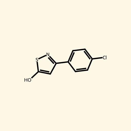 Oc1cc(-c2ccc(Cl)cc2)ns1